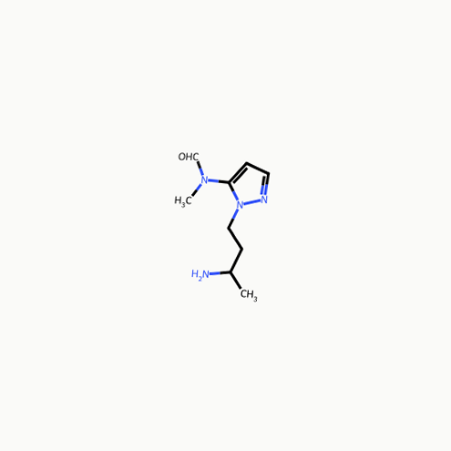 CC(N)CCn1nccc1N(C)C=O